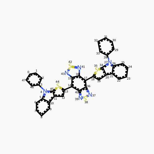 c1ccc(-n2c3ccccc3c3cc(-c4c5c(c(-c6cc7c8ccccc8n(-c8ccccc8)c7s6)c6nsnc46)N=S=N5)sc32)cc1